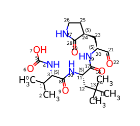 CC(C)[C@H](NC(=O)O)C(=O)N[C@@H](CC(C)(C)C)C(=O)N[C@H](C=O)C[C@@H]1CCNC1=O